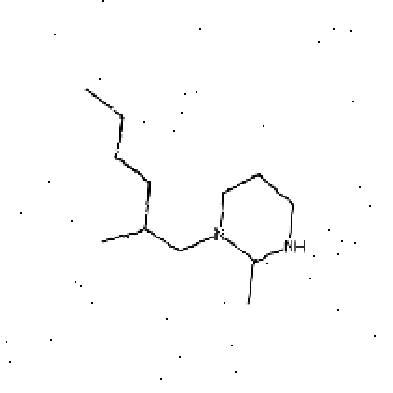 CCCCC(C)CN1CCCNC1C